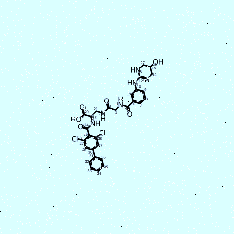 O=C(CNC(=O)c1cccc(NC2=NCC(O)CN2)c1)NC[C@@H](NC(=O)c1c(Cl)cc(-c2ccccc2)cc1Cl)C(=O)O